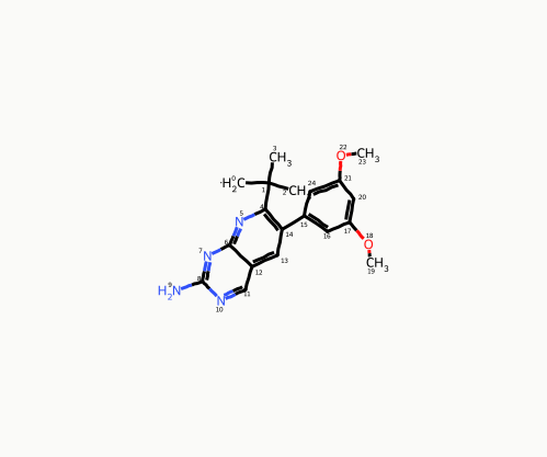 [CH2]C(C)(C)c1nc2nc(N)ncc2cc1-c1cc(OC)cc(OC)c1